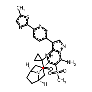 Cc1cnc(-c2ccc(-c3cnn4c(N)c(S(C)(=O)=O)c([C@@H]5C[C@H]6CC[C@@H](C5)N6C(=O)C5(O)CC5)nc34)cn2)s1